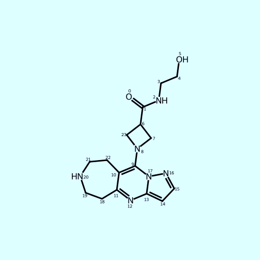 O=C(NCCO)C1CN(c2c3c(nc4ccnn24)CCNCC3)C1